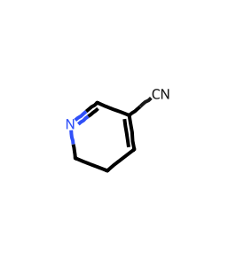 N#CC1=CCCN=C1